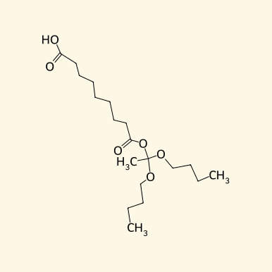 CCCCOC(C)(OCCCC)OC(=O)CCCCCCCC(=O)O